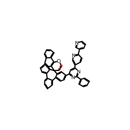 c1ccc(-c2nc(-c3ccc(-c4cccnc4)nc3)cc(-c3ccc4c(c3)C3(c5ccccc5Oc5c3ccc3ccccc53)c3ccccc3-c3ccccc3-4)n2)cc1